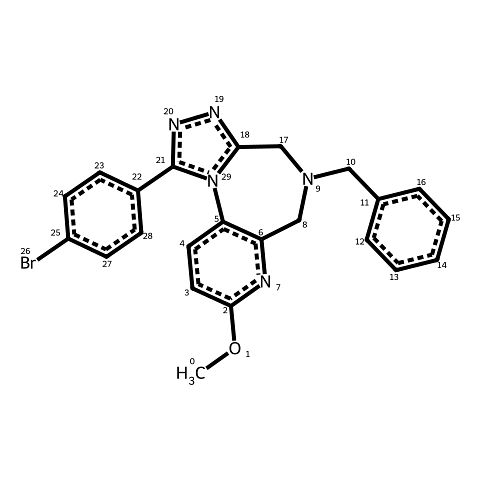 COc1ccc2c(n1)CN(Cc1ccccc1)Cc1nnc(-c3ccc(Br)cc3)n1-2